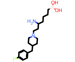 NC(CCCCB(O)O)CCN1CCC(Cc2ccc(F)cc2)CC1